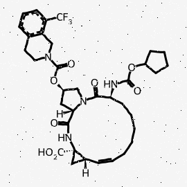 O=C(N[C@H]1CCCCC/C=C\[C@@H]2C[C@@]2(C(=O)O)NC(=O)[C@@H]2C[C@@H](OC(=O)N3CCc4cccc(C(F)(F)F)c4C3)CN2C1=O)OC1CCCC1